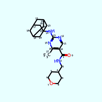 O=C(NCC1CCOCC1)c1cnc(NC23CC4CC(CC(C4)C2)C3)nc1C(F)(F)F